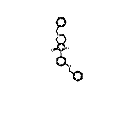 O=c1c2c([nH]n1-c1cccc(OCc3ccccc3)c1)CCN(Cc1ccccc1)C2